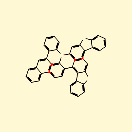 c1ccc(N(c2ccc3c(c2)oc2ccccc23)c2ccccc2-c2cccc3oc4ccccc4c23)c(-c2ccc3ccccc3c2)c1